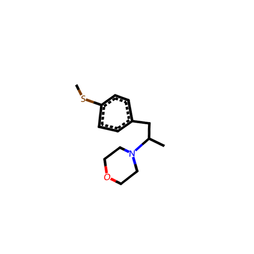 CSc1ccc(CC(C)N2CCOCC2)cc1